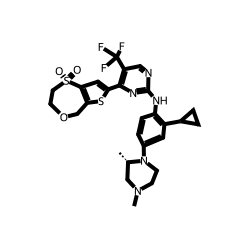 C[C@H]1CN(C)CCN1c1ccc(Nc2ncc(C(F)(F)F)c(-c3cc4c(s3)COCCS4(=O)=O)n2)c(C2CC2)c1